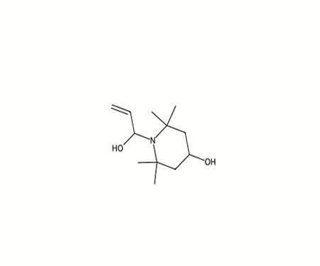 C=CC(O)N1C(C)(C)CC(O)CC1(C)C